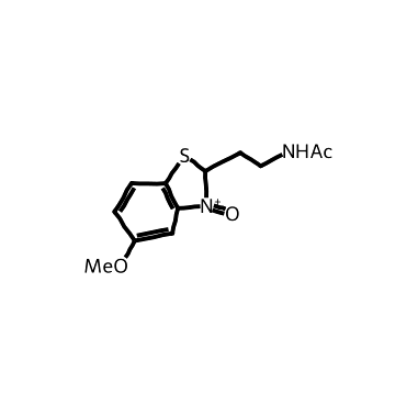 COc1ccc2c(c1)[N+](=O)C(CCNC(C)=O)S2